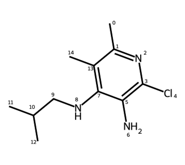 Cc1nc(Cl)c(N)c(NCC(C)C)c1C